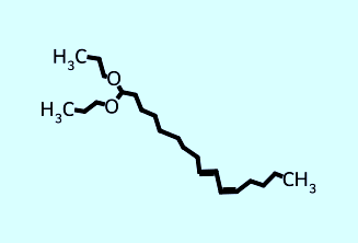 CCCC/C=C\C=C\CCCCCCCC(OCCC)OCCC